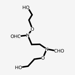 O=CN(CCN(C=O)OCCO)OCCO